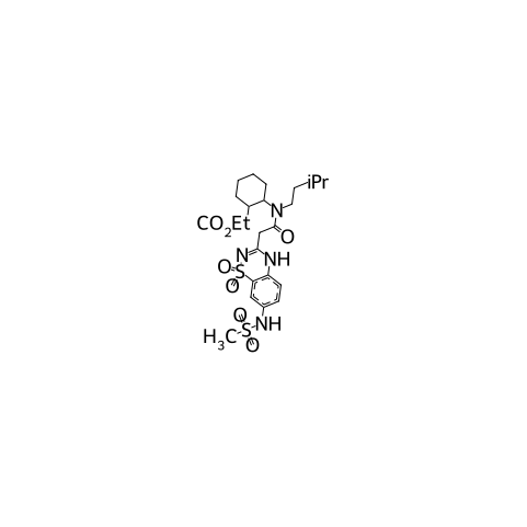 CCOC(=O)C1CCCCC1N(CCC(C)C)C(=O)CC1=NS(=O)(=O)c2cc(NS(C)(=O)=O)ccc2N1